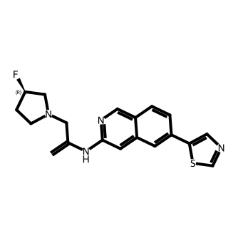 C=C(CN1CC[C@@H](F)C1)Nc1cc2cc(-c3cncs3)ccc2cn1